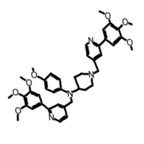 COc1ccc(N(Cc2ccnc(-c3cc(OC)c(OC)c(OC)c3)c2)C2CCN(Cc3ccnc(-c4cc(OC)c(OC)c(OC)c4)c3)CC2)cc1